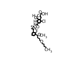 CCCCCOCCCC(OC)c1cccc(-c2csc(NC(=O)c3cc(Cl)c(/C=C(\C)C(=O)O)c(Cl)c3)n2)c1F